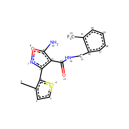 Cc1ccsc1-c1noc(N)c1C(=O)NCc1ccccc1C(F)(F)F